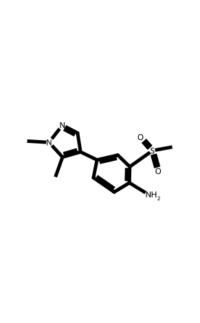 Cc1c(-c2ccc(N)c(S(C)(=O)=O)c2)cnn1C